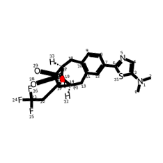 CN(C)c1cnc(-c2ccc3c(c2)C[C@H]2CC[C@@H](C3)[C@]23CN(CC(F)(F)F)S(=O)(=O)N3)s1